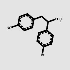 N#Cc1ccc(CC(C(=O)O)c2ccc(Br)cc2)cc1